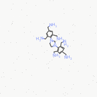 NCc1cc(CN)c(N2[CH]N(c3c(CN)cc(CN)cc3CN)CC2)c(CN)c1